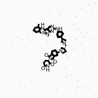 Cc1cccc(C)c1Nc1nn(C)c2nc(Nc3ccc(C4CN(C[C@@H]5CCN(c6ccc7c(c6)C(=O)N(C6CCC(=O)NC6=O)C7=O)C5)C4)cc3)ncc12